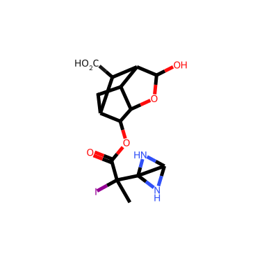 CC(I)(C(=O)OC1C2CC3C1OC(O)C3C2C(=O)O)C12NC1N2